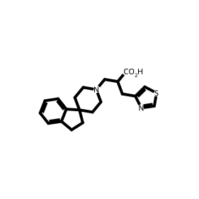 O=C(O)C(Cc1cscn1)CN1CCC2(CCc3ccccc32)CC1